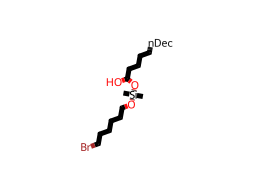 CCCCCCCCCCCCCCC(O)O[Si](C)(C)OCCCCCCBr